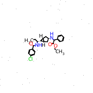 CCOC(=O)C(N[C@@H]1C[C@@H]2[C@H](C1)[C@H]2C(CC)NC(=O)c1ccc(Cl)cc1)c1ccccc1